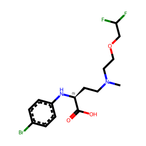 CN(CCOCC(F)F)CC[C@H](Nc1ccc(Br)cc1)C(=O)O